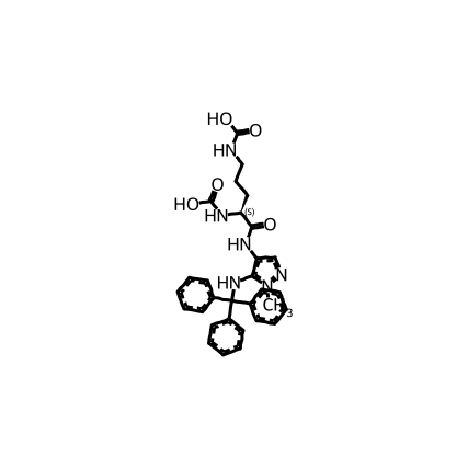 Cn1ncc(NC(=O)[C@H](CCCNC(=O)O)NC(=O)O)c1NC(c1ccccc1)(c1ccccc1)c1ccccc1